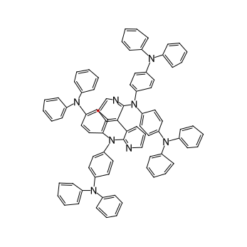 c1ccc(N(c2ccccc2)c2ccc(N(c3ccc(N(c4ccccc4)c4ccccc4)cc3)c3ncccc3-c3cccnc3N(c3ccc(N(c4ccccc4)c4ccccc4)cc3)c3ccc(N(c4ccccc4)c4ccccc4)cc3)cc2)cc1